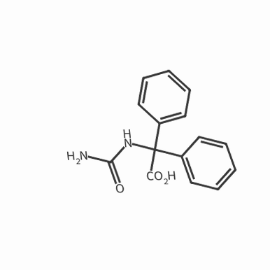 NC(=O)NC(C(=O)O)(c1ccccc1)c1ccccc1